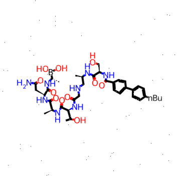 CCCCc1ccc(-c2ccc(C(=O)N[C@H](CO)C(=O)N[C@H](C)CNCC(=O)N[C@H](C(=O)N[C@@H](C)C(=O)N[C@@H](CC(N)=O)C(=O)N[C@@H](C)B(O)O)C(C)O)cc2)cc1